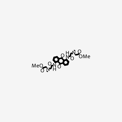 COC(=O)CN(C)CC(=O)Nc1cccc2c1C(=O)c1cccc(NC(=O)CN(C)CC(=O)OC)c1C2=O